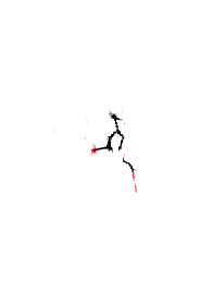 COCCOc1cc(C(=O)OC)cc(C(C)(C)C)c1